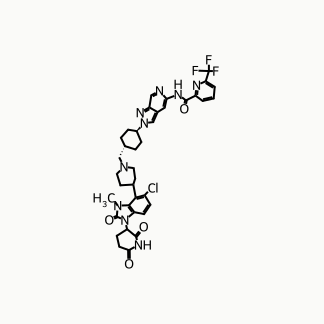 Cn1c(=O)n(C2CCC(=O)NC2=O)c2ccc(Cl)c(C3CCN(C[C@H]4CC[C@H](n5cc6cc(NC(=O)c7cccc(C(F)(F)F)n7)ncc6n5)CC4)CC3)c21